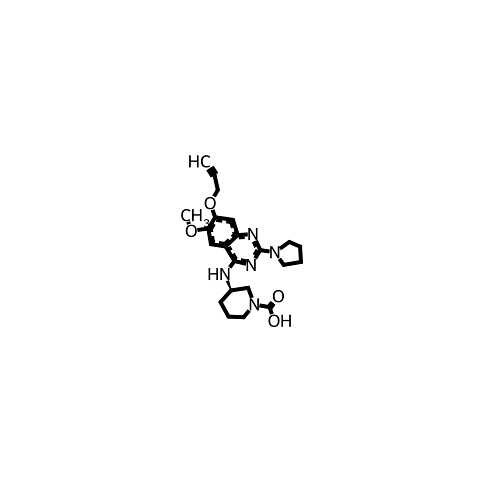 C#CCOc1cc2nc(N3CCCC3)nc(N[C@@H]3CCCN(C(=O)O)C3)c2cc1OC